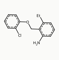 CCc1cccc(N)c1COc1ccccc1Cl